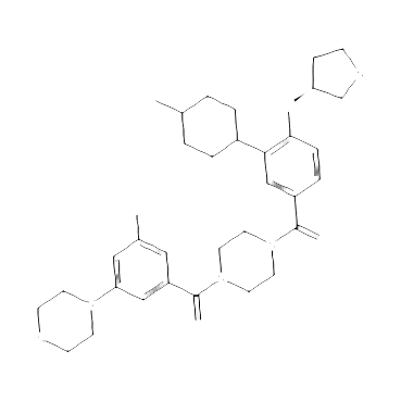 CC1CCC(c2cc(C(=O)N3CCN(C(=O)c4cc(F)cc(N5CCNCC5)c4)CC3)ccc2O[C@H]2CCNC2)CC1.Cl